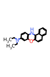 CCN(CC)c1ccc2c(c1)Oc1ccc3ccccc3c1N2